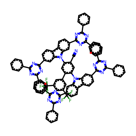 N#Cc1cc(-n2c3cc(-c4nc(-c5ccccc5)nc(-c5ccccc5)n4)ccc3c3ccc(-c4nc(-c5ccccc5)nc(-c5ccccc5)n4)cc32)c(-c2cc(C(F)(F)F)cc(C(F)(F)F)c2)cc1-n1c2cc(-c3nc(-c4ccccc4)nc(-c4ccccc4)n3)ccc2c2ccc(-c3nc(-c4ccccc4)nc(-c4ccccc4)n3)cc21